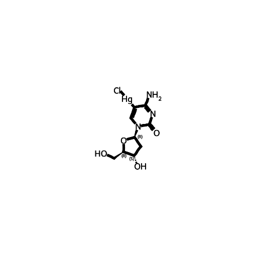 Nc1nc(=O)n([C@H]2C[C@H](O)[C@@H](CO)O2)c[c]1[Hg][Cl]